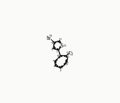 Clc1c[c]ccc1-c1cc(Br)cs1